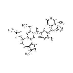 COc1cc2c(cc1Nc1ncc(Br)c(Nc3ccccc3P(C)(C)=O)n1)-c1cnn(C)c1CCN2C1CN(C)C1